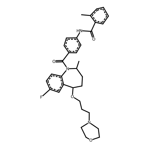 Cc1ccccc1C(=O)Nc1ccc(C(=O)N2c3ccc(F)cc3C(OCCCN3CCOCC3)CCC2C)cc1